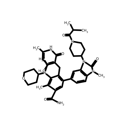 CCN(c1c(C)c(C(N)=O)cc(-c2ccc3c(c2)n(C2CCN(C(=O)C(C)C)CC2)c(=O)n3C)c1Cc1c(C)cc(C)[nH]c1=O)C1CCOCC1